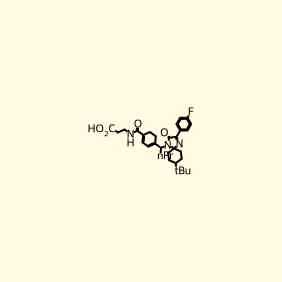 CCCC(C1=CC=C(C(=O)NCCC(=O)O)CC1)N1C(=O)C(c2ccc(F)cc2)=NC12CCC(C(C)(C)C)CC2